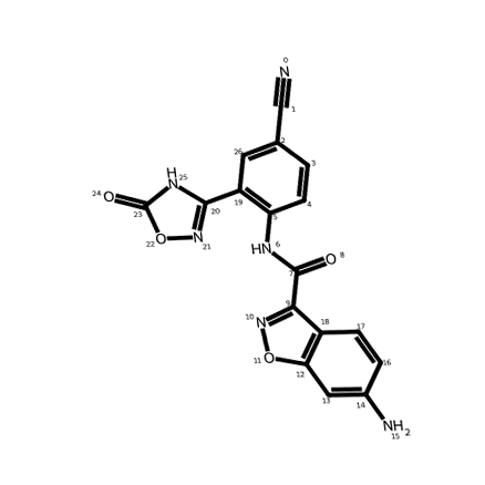 N#Cc1ccc(NC(=O)c2noc3cc(N)ccc23)c(-c2noc(=O)[nH]2)c1